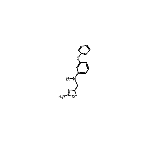 CCN(CC1COC(N)=N1)c1cccc(Oc2ccccc2)c1